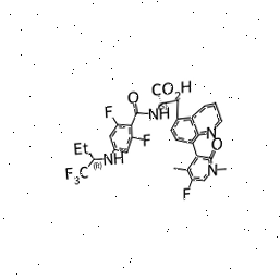 CC[C@@H](Nc1cc(F)c(C(=O)N[C@@H](Cc2ccc(-c3c(C)c(F)cn(C)c3=O)c3ncccc23)C(=O)O)c(F)c1)C(F)(F)F